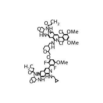 C=CC(=O)N[C@H]1COC[C@H]1Nc1cc2c(NCC3CC3)nc(-c3c(F)c(OC)cc(OCC4CC(CNc5nc(-c6c(Cl)c(OC)cc(OC)c6Cl)cc6cnc(N[C@@H]7COC[C@@H]7NC(=O)C=C)cc56)CCO4)c3F)cc2cn1